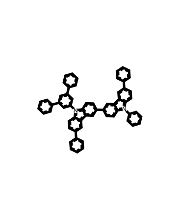 c1ccc(-c2cc(-c3ccccc3)cc(-n3c4ccc(-c5ccccc5)cc4c4cc(-c5ccc6c(c5)c5cc(-c7ccccc7)ccc5n6-c5ccccc5)ccc43)c2)cc1